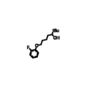 CC(C)(C)C(O)CCCCOc1ccccc1F